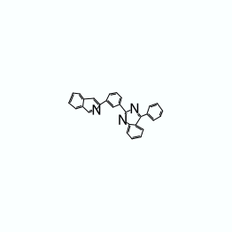 c1ccc(-c2nc(-c3cccc(-c4cc5ccccc5cn4)c3)nc3ccccc23)cc1